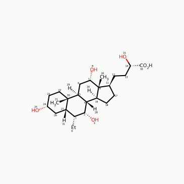 CC[C@H]1[C@@H](O)[C@@H]2[C@H](C[C@H](O)[C@]3(C)[C@@H](CC[C@H](O)C(=O)O)CC[C@@H]23)[C@@]2(C)CC[C@@H](O)C[C@@H]12